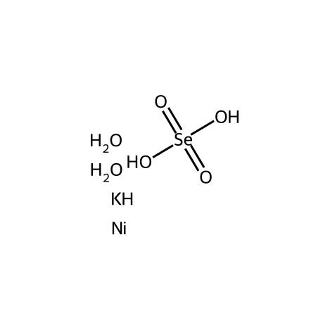 O.O.O=[Se](=O)(O)O.[KH].[Ni]